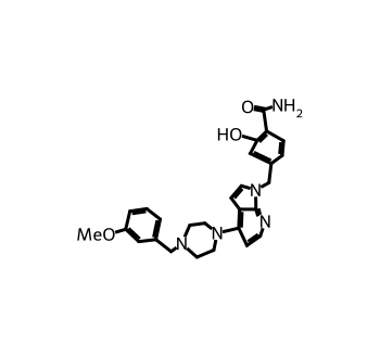 COc1cccc(CN2CCN(c3ccnc4c3ccn4Cc3ccc(C(N)=O)c(O)c3)CC2)c1